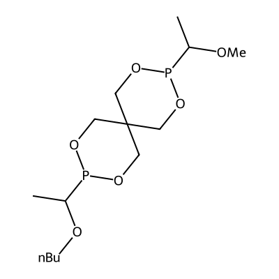 CCCCOC(C)P1OCC2(COP(C(C)OC)OC2)CO1